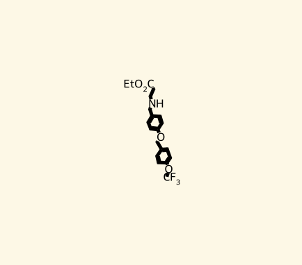 CCOC(=O)CCNCc1ccc(OCc2ccc(OC(F)(F)F)cc2)cc1